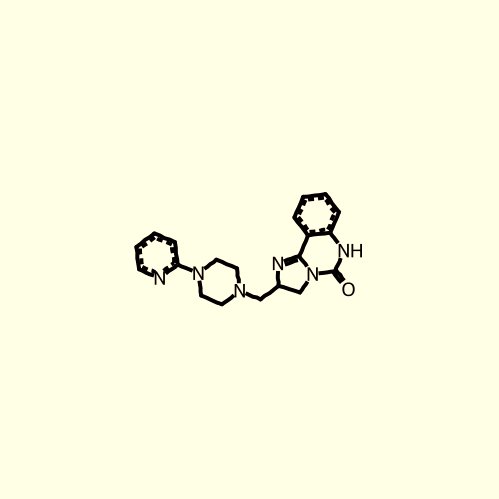 O=C1Nc2ccccc2C2=NC(CN3CCN(c4ccccn4)CC3)CN12